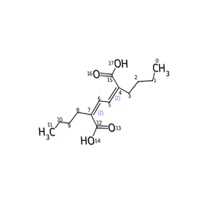 CCCC/C(=C/C=C(/CCCC)C(=O)O)C(=O)O